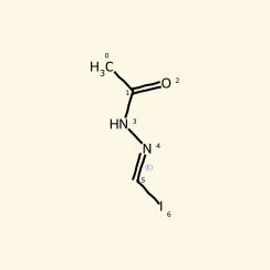 CC(=O)N/N=C/I